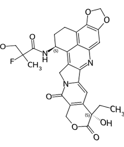 CC[C@@]1(O)C(=O)OCc2c1cc1n(c2=O)Cc2c-1nc1cc3c(c4c1c2[C@@H](NC(=O)C(C)(F)CO)CC4)OCO3